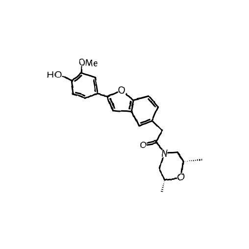 COc1cc(-c2cc3cc(CC(=O)N4C[C@@H](C)O[C@@H](C)C4)ccc3o2)ccc1O